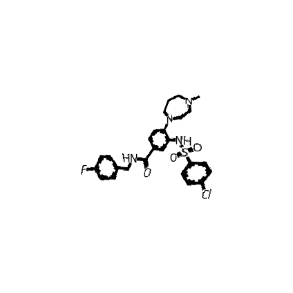 CN1CCCN(c2ccc(C(=O)NCc3ccc(F)cc3)cc2NS(=O)(=O)c2ccc(Cl)cc2)CC1